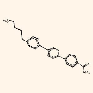 CCCCCc1ccc(-c2cnc(-c3ccc(C(N)=O)cc3)nc2)cc1